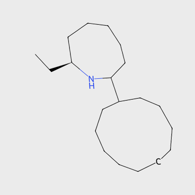 CC[C@H]1CCCCCC(C2CCCCCCCCCC2)N1